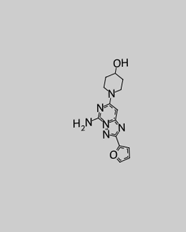 Nc1nc(N2CCC(O)CC2)cc2nc(-c3ccco3)nn12